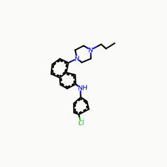 CCCN1CCN(c2cccc3ccc(Nc4ccc(Cl)cc4)cc23)CC1